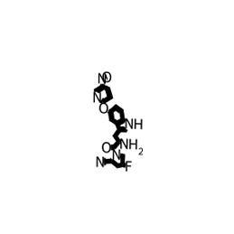 N#CC1CC(F)CN1C(=O)C(N)Cc1c[nH]c2ccc(Oc3ccc(N=O)cn3)cc12